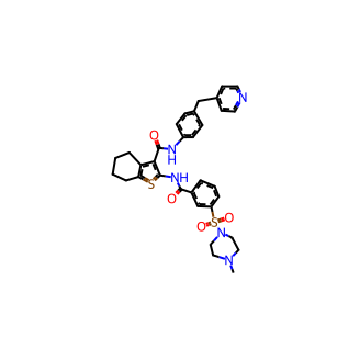 CN1CCN(S(=O)(=O)c2cccc(C(=O)Nc3sc4c(c3C(=O)Nc3ccc(Cc5ccncc5)cc3)CCCC4)c2)CC1